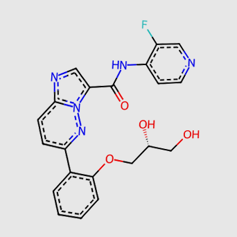 O=C(Nc1ccncc1F)c1cnc2ccc(-c3ccccc3OC[C@H](O)CO)nn12